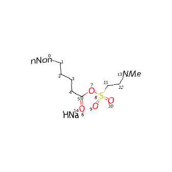 CCCCCCCCCCCCCC(=O)OS(=O)(=O)CCNC.[NaH]